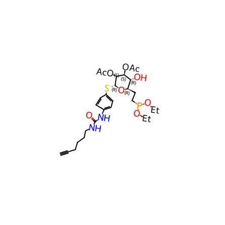 C#CCCCCNC(=O)Nc1ccc(S[C@H]2O[C@H](CCP(OCC)OCC)[C@@H](O)[C@H](OC(C)=O)[C@@H]2OC(C)=O)cc1